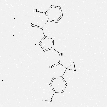 COc1ccc(C2(C(=O)Nc3ncc(C(=O)c4ccccc4Cl)s3)CC2)cc1